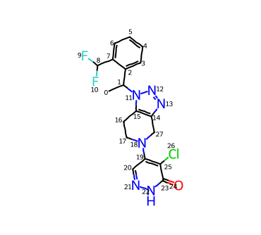 CC(c1ccccc1C(F)F)n1nnc2c1CCN(c1cn[nH]c(=O)c1Cl)C2